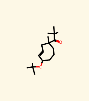 CC(C)(C)OC1/C=C/CC(C)(C(=O)C(C)(C)C)CCC1